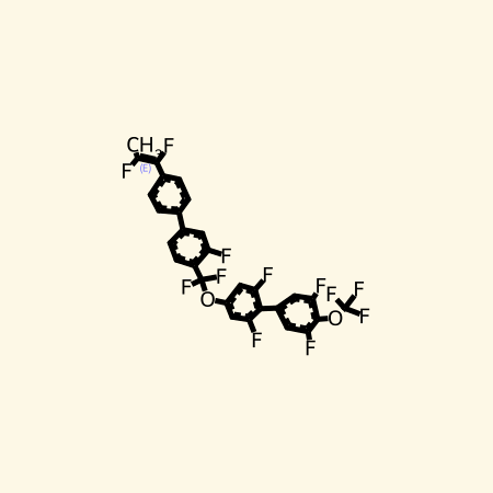 C/C(F)=C(\F)c1ccc(-c2ccc(C(F)(F)Oc3cc(F)c(-c4cc(F)c(OC(F)(F)F)c(F)c4)c(F)c3)c(F)c2)cc1